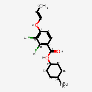 C/C=C/Oc1ccc(C(=O)OC2CCC(CCCC)CC2)c(F)c1F